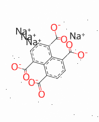 O=C([O-])c1ccc(C(=O)[O-])c2c(C(=O)[O-])ccc(C(=O)[O-])c12.[Na+].[Na+].[Na+].[Na+]